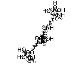 CC(=O)N[C@H]1[C@H](OCCCCCNC(=O)OCC(COC(=O)NCCCCCO[C@@H]2O[C@H](CO)[C@H](O)[C@H](O)[C@H]2NC(C)=O)OP(=O)(O)OC(C)(C)C)O[C@H](CO)[C@H](O)[C@@H]1O